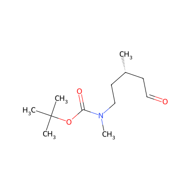 C[C@H](CC=O)CCN(C)C(=O)OC(C)(C)C